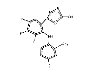 Cc1cc(I)ccc1Nc1c(-c2nnc(O)o2)cc(F)c(F)c1F